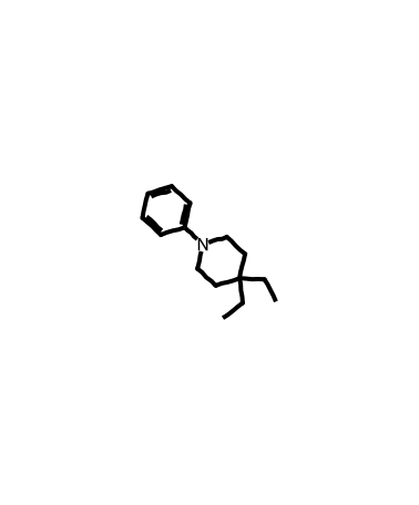 CCC1(CC)CCN(c2ccccc2)CC1